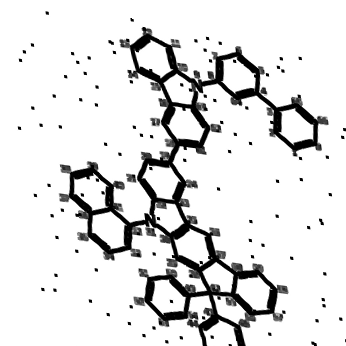 c1ccc(-c2cccc(-n3c4ccccc4c4cc(-c5ccc6c(c5)c5cc7c(cc5n6-c5cccc6ccccc56)C(c5ccccc5)(c5ccccc5)c5ccccc5-7)ccc43)c2)cc1